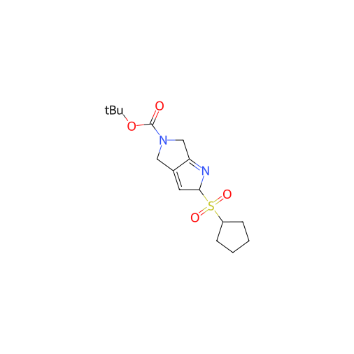 CC(C)(C)OC(=O)N1CC2=CC(S(=O)(=O)C3CCCC3)N=C2C1